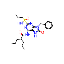 CCCC(CCC)C(=O)Nc1nc(S(=N)(=O)CCC)nc2c1[nH]c(=O)n2Cc1ccccc1